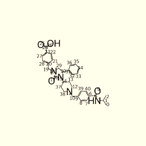 CC(C)NC(=O)c1ccc(CN2CCC(N3C(=O)N(Cc4ccc(C(=O)O)cc4)CC3c3ccccc3)CC2)cc1